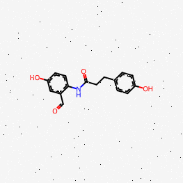 O=Cc1cc(O)ccc1NC(=O)CCc1ccc(O)cc1